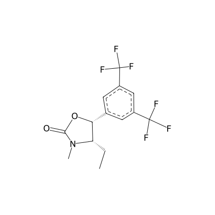 CC[C@H]1[C@@H](c2cc(C(F)(F)F)cc(C(F)(F)F)c2)OC(=O)N1C